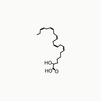 CC/C=C\C/C=C\C/C=C\C/C=C\C/C=C\CCCCC(O)C(=O)O